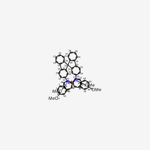 COc1ccc(N(c2ccc(OC)cc2)c2ccc3c(c2)C2(c4ccccc4-3)c3ccccc3-c3ccc(N(c4ccc(OC)cc4)c4ccc(OC)cc4)cc32)cc1